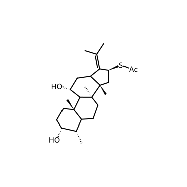 CC(=O)S[C@H]1C[C@@]2(C)C(C[C@@H](O)C3[C@@]4(C)CC[C@@H](O)[C@@H](C)C4CC[C@@]32C)C1=C(C)C